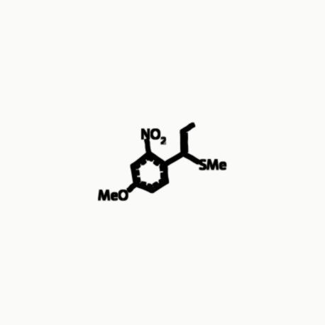 CC=C(SC)c1ccc(OC)cc1[N+](=O)[O-]